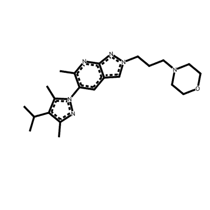 Cc1nc2nn(CCCN3CCOCC3)cc2cc1-n1nc(C)c(C(C)C)c1C